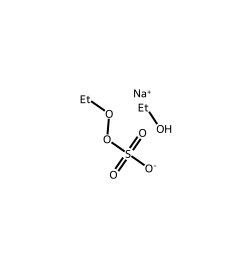 CCO.CCOOS(=O)(=O)[O-].[Na+]